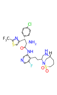 N[C@H](C(=O)Nc1cncc(F)c1CCC1CN[C@@H]2CCCS(=O)(=O)N1C2)[C@@H](c1ccc(Cl)cc1)c1csc(C(F)(F)F)n1